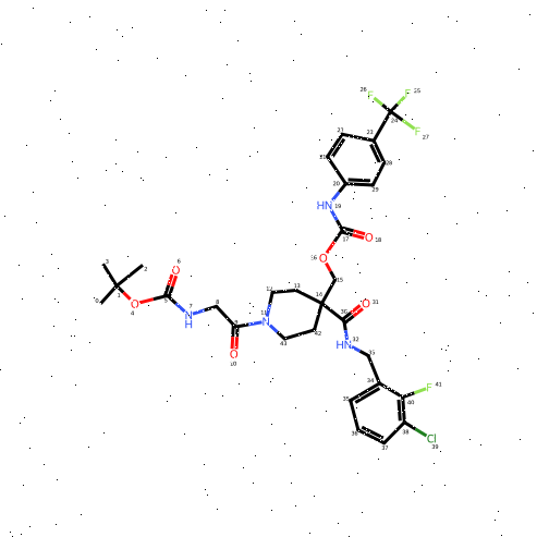 CC(C)(C)OC(=O)NCC(=O)N1CCC(COC(=O)Nc2ccc(C(F)(F)F)cc2)(C(=O)NCc2cccc(Cl)c2F)CC1